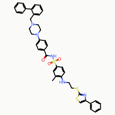 Cc1cc(S(=O)(=O)NC(=O)c2ccc(N3CCN(Cc4ccccc4-c4ccccc4)CC3)cc2)ccc1NCCSc1nc(-c2ccccc2)cs1